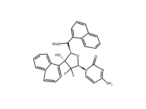 COC(c1cccc2ccccc12)[C@H]1O[C@@H](n2ccc(N)nc2=O)C(F)(F)[C@@]1(O)c1cccc2ccccc12